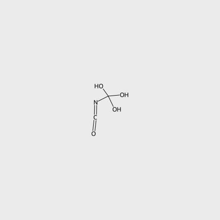 O=C=NC(O)(O)O